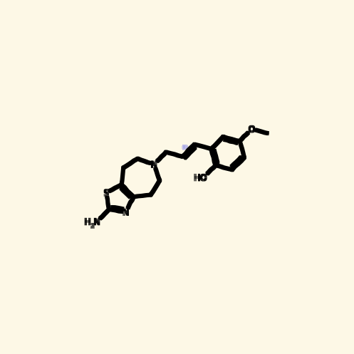 COc1ccc(O)c(/C=C/CN2CCc3nc(N)sc3CC2)c1